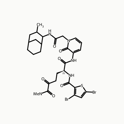 CNC(=O)C(=O)CC[C@H](NC(=O)c1sc(Br)cc1Br)C(=O)Nc1cccn(CC(=O)NC2C(C)CC3CCCC2C3)c1=O